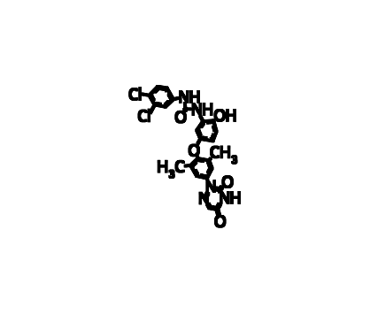 Cc1cc(-n2ncc(=O)[nH]c2=O)cc(C)c1Oc1ccc(O)c(NC(=O)Nc2ccc(Cl)c(Cl)c2)c1